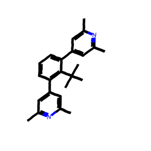 Cc1cc(-c2cccc(-c3cc(C)nc(C)c3)c2C(C)(C)C)cc(C)n1